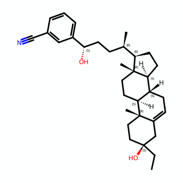 CC[C@]1(O)CC[C@@]2(C)C(=CC[C@H]3[C@@H]4CC[C@H]([C@H](C)CC[C@H](O)c5cccc(C#N)c5)[C@@]4(C)CC[C@@H]32)C1